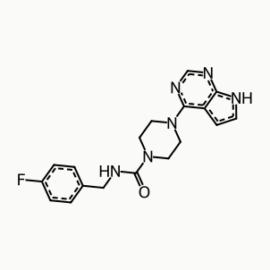 O=C(NCc1ccc(F)cc1)N1CCN(c2ncnc3[nH]ccc23)CC1